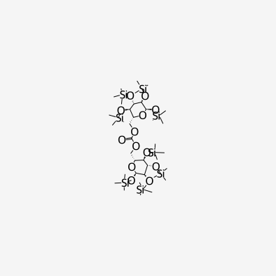 C[Si](C)(C)O[C@H]1O[C@H](COC(=O)OC[C@H]2O[C@H](O[Si](C)(C)C)[C@H](O[Si](C)(C)C)[C@@H](O[Si](C)(C)C)[C@@H]2O[Si](C)(C)C)[C@@H](O[Si](C)(C)C)[C@H](O[Si](C)(C)C)[C@H]1O[Si](C)(C)C